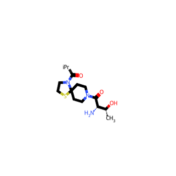 CC(C)C(=O)N1CCSC12CCN(C(=O)[C@@H](N)[C@@H](C)O)CC2